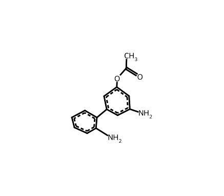 CC(=O)Oc1cc(N)cc(-c2ccccc2N)c1